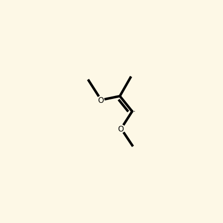 CO[C]=C(C)OC